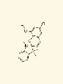 CCOc1cc(Cl)cc2c1OC1(C=C2)N(C)c2ccccc2C1(C)C